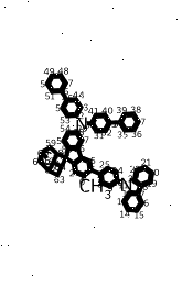 Cc1cc2c(cc1-c1ccc(-n3c4ccccc4c4ccccc43)cc1)-c1cc(N(c3ccc(-c4ccccc4)cc3)c3ccc(-c4ccccc4)cc3)ccc1C21C2CC3CC4CC1C42C3